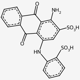 Nc1c(S(=O)(=O)O)cc(Nc2ccccc2S(=O)(=O)O)c2c1C(=O)c1ccccc1C2=O